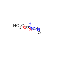 O=C(O)COc1ccc(NC(=O)N2CCN(C3CCN(Cc4ccccc4)C3)CC2)cc1